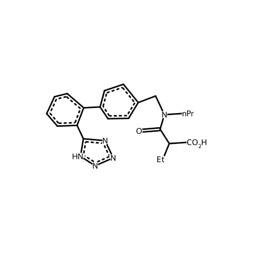 CCCN(Cc1ccc(-c2ccccc2-c2nnn[nH]2)cc1)C(=O)C(CC)C(=O)O